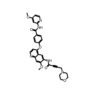 COc1ccnc(NC(=O)c2ccc(Oc3ccnc4cc(OC)c(NC(=O)C#CCN5CCOCC5)cc34)cc2)c1